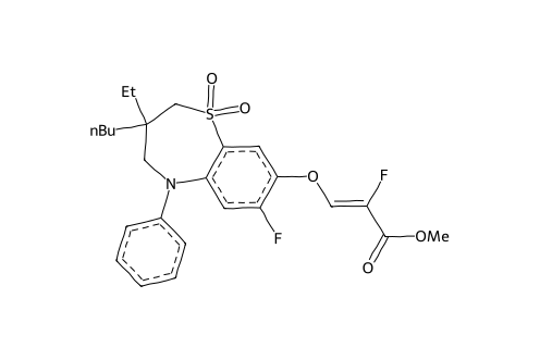 CCCCC1(CC)CN(c2ccccc2)c2cc(F)c(O/C=C(\F)C(=O)OC)cc2S(=O)(=O)C1